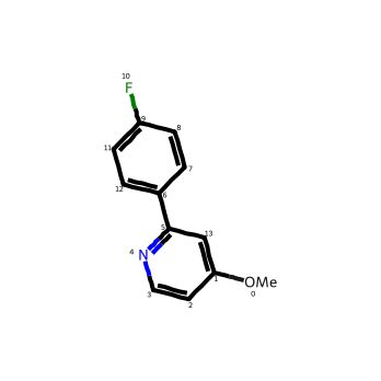 COc1ccnc(-c2ccc(F)cc2)c1